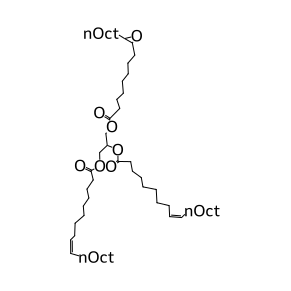 CCCCCCCC/C=C\CCCCCCCC(=O)OCC(COC(=O)CCCCCCCC1OC1CCCCCCCC)OC(=O)CCCCCCC/C=C\CCCCCCCC